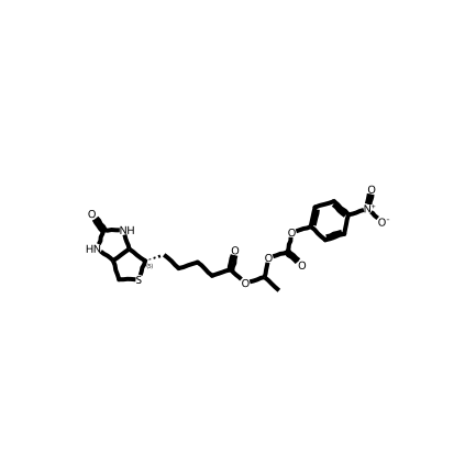 CC(OC(=O)CCCC[C@@H]1SCC2NC(=O)NC21)OC(=O)Oc1ccc([N+](=O)[O-])cc1